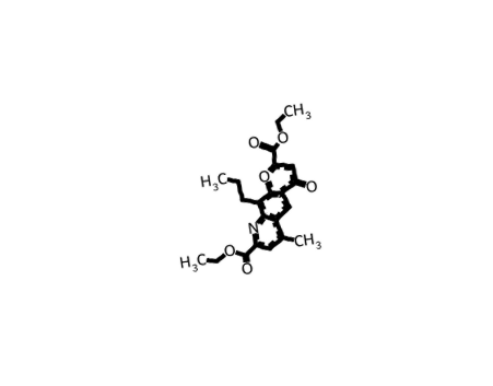 CCCc1c2nc(C(=O)OCC)cc(C)c2cc2c(=O)cc(C(=O)OCC)oc12